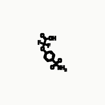 NS(=O)(=O)c1ccc(OC(F)(F)C(=O)O)cc1